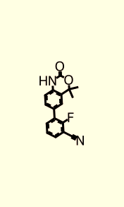 CC1(C)OC(=O)Nc2ccc(-c3cccc(C#N)c3F)cc21